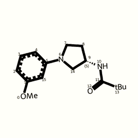 COc1cccc(N2CC[C@H](NC(=O)C(C)(C)C)C2)c1